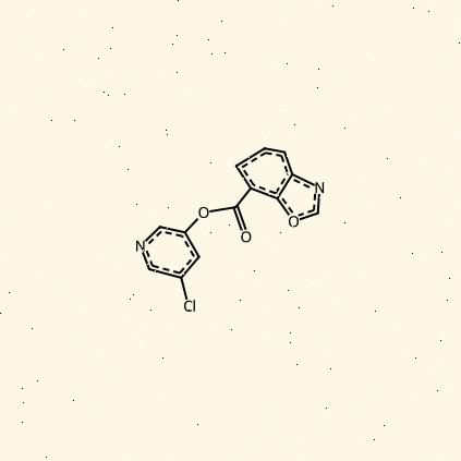 O=C(Oc1cncc(Cl)c1)c1cccc2ncoc12